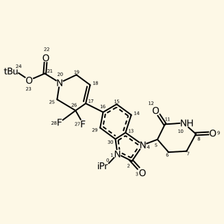 CC(C)n1c(=O)n(C2CCC(=O)NC2=O)c2ccc(C3=CCN(C(=O)OC(C)(C)C)CC3(F)F)cc21